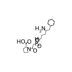 NC(CCCO[PH](=O)CC(=O)N1CCC[C@H]1C(=O)O)Cc1ccccc1